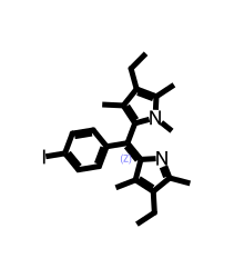 CCC1=C(C)/C(=C(\c2ccc(I)cc2)c2c(C)c(CC)c(C)n2C)N=C1C